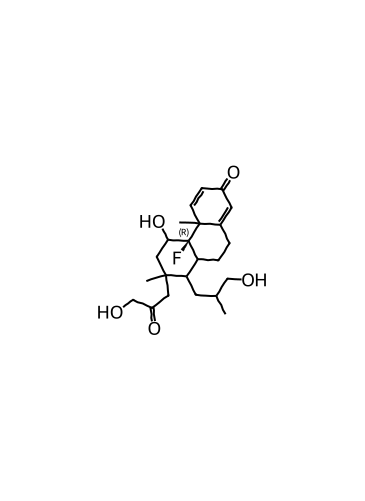 CC(CO)CC1C2CCC3=CC(=O)C=CC3(C)[C@@]2(F)C(O)CC1(C)CC(=O)CO